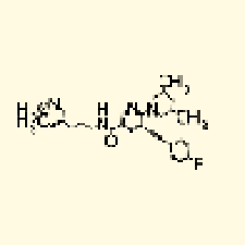 C/C=C(\C=N/C)CCCNC(=O)c1cnc(N2CC(C)CC(C)C2)c(C#Cc2ccc(F)cc2)c1